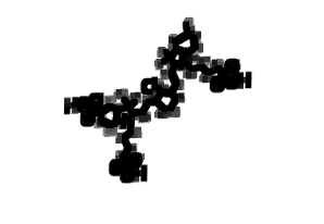 Cc1ccc2c(c1)C(C)(C)C(/C=C/C1=C(Cl)C(=C/C=C3/N(CCCCS(=O)(=O)O)c4ccc(S(=O)(=O)O)cc4C3(C)C)/CCC1)=[N+]2CCCCS(=O)(=O)O